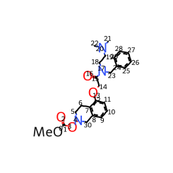 COC(=O)ON1CCc2c(cccc2OCC(=O)N(CCN(C)C)Cc2ccccc2)C1